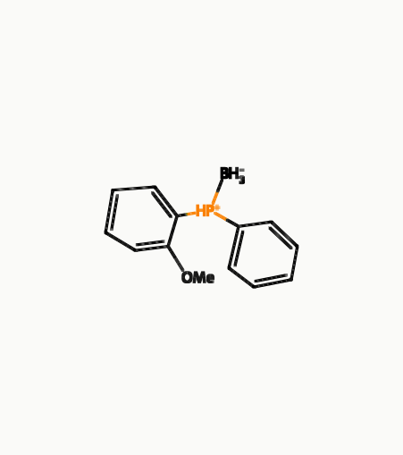 [BH3-][PH+](c1ccccc1)c1ccccc1OC